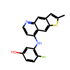 Cc1cc2cc3nccc(Nc4cc(O)ccc4F)c3cc2s1